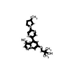 CC1CCN(c2cnc(-c3cc(OCC(C)(C)O)cn4ncc(C#N)c34)cn2)C1